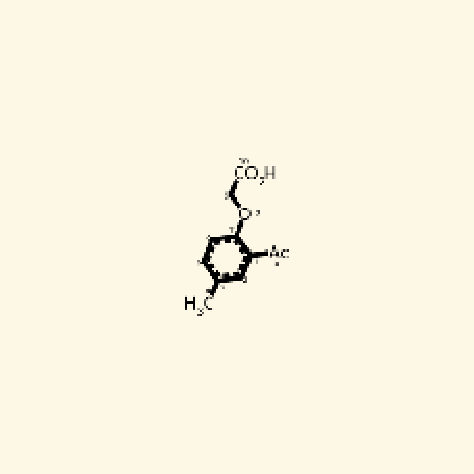 CC(=O)c1cc(C)ccc1OCC(=O)O